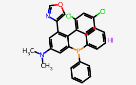 CN(C)c1cc(-c2cocn2)c(-c2ccc(Cl)cc2Cl)c(P(c2ccccc2)c2ccccc2)c1.I